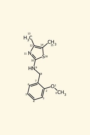 COc1ccccc1[CH]Nc1nc(C)c(C)s1